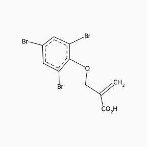 C=C(COc1c(Br)cc(Br)cc1Br)C(=O)O